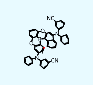 N#Cc1cccc(N(c2ccccc2)c2cc3c(c4ccccc24)B2c4c(cccc4Oc4cc(N(c5ccccc5)c5cccc(C#N)c5)c5ccccc5c42)O3)c1